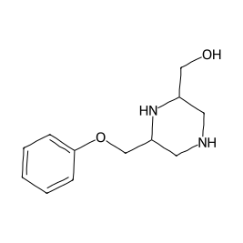 OCC1CNCC(COc2ccccc2)N1